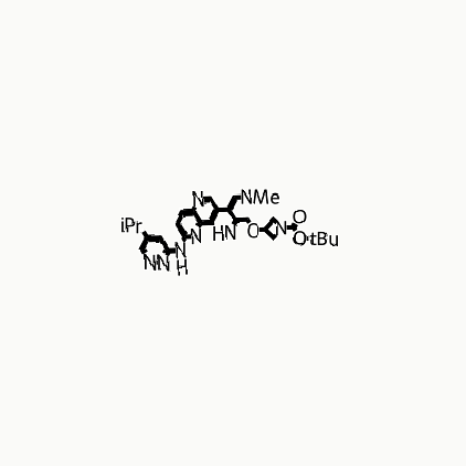 CN/C=C(\C(=N)COC1CN(C(=O)OC(C)(C)C)C1)c1cnc2ccc(Nc3cc(C(C)C)cnn3)nc2c1